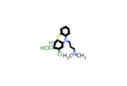 CN(C)CCCN1c2ccccc2Sc2ccc(Cl)cc21.Cl.Cl